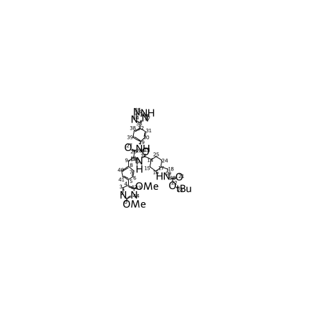 COc1ncc(-c2ccc(C[C@H](NC(=O)C3CCC(CNC(=O)OC(C)(C)C)CC3)C(=O)Nc3ccc(-c4nn[nH]n4)cc3)cc2)c(OC)n1